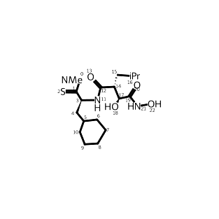 CNC(=S)[C@H](CC1CCCCC1)NC(=O)[C@H](CC(C)C)[C@H](O)C(=O)NO